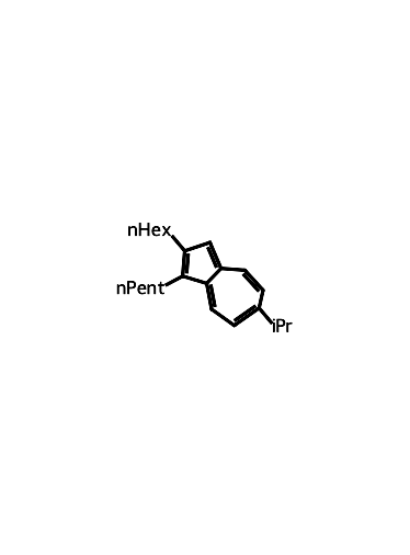 CCCCCCc1cc2ccc(C(C)C)ccc-2c1CCCCC